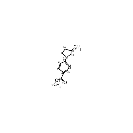 COC(=O)c1ccc(N2CCC(C)C2)nc1